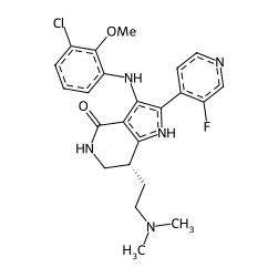 COc1c(Cl)cccc1Nc1c(-c2ccncc2F)[nH]c2c1C(=O)NC[C@H]2CCN(C)C